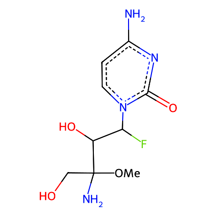 COC(N)(CO)C(O)C(F)n1ccc(N)nc1=O